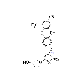 N#Cc1ccc(Oc2ccc(/C=C3\SC(N4CCC(O)C4)=NC3=O)cc2O)c(C(F)(F)F)c1